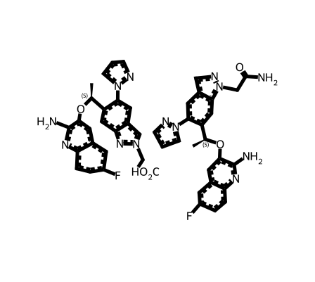 C[C@H](Oc1cc2cc(F)ccc2nc1N)c1cc2c(cnn2CC(N)=O)cc1-n1cccn1.C[C@H](Oc1cc2cc(F)ccc2nc1N)c1cc2nn(CC(=O)O)cc2cc1-n1cccn1